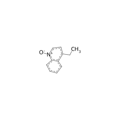 CCc1cc[n+]([O-])c2ccccc12